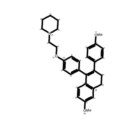 COc1ccc(C2=C(c3ccc(OCCN4CCCCC4)cc3)c3ccc(OC)cc3CC2)cc1